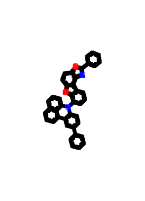 c1ccc(-c2ccc(N(c3ccccc3)c3cccc4c3oc3ccc5oc(-c6ccccc6)nc5c34)c(-c3ccccc3)c2)cc1